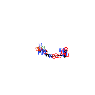 Cc1cc(Nc2ncc(Cl)c(Nc3ccccc3S(=O)(=O)C(C)C)n2)c(OC(C)C)cc1C1CCN(CCOCCOCCOCCNc2cccc3c2C(=O)N(C2CCC(=O)NC2=O)C3=O)CC1